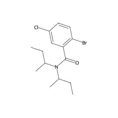 CCC(C)N(C(=O)c1cc(Cl)ccc1Br)C(C)CC